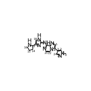 Cn1cc(-c2cnc3c(Nc4nc(C5CCCN5)c[nH]4)nccn23)cn1